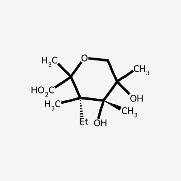 CC[C@]1(C)C(C)(C(=O)O)OCC(C)(O)[C@]1(C)O